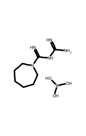 N=C(N)NC(=N)N1CCCCCC1.OB(O)O